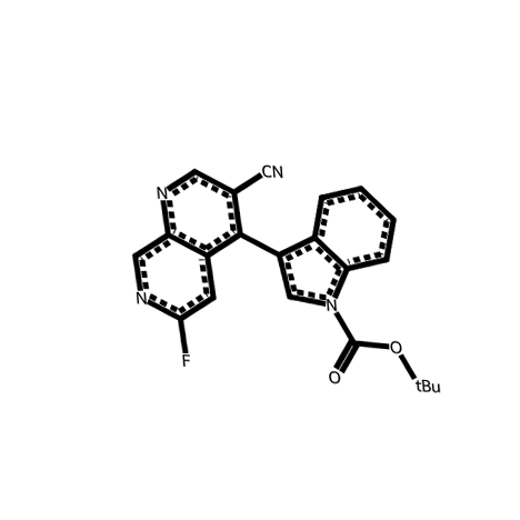 CC(C)(C)OC(=O)n1cc(-c2c(C#N)cnc3cnc(F)cc23)c2ccccc21